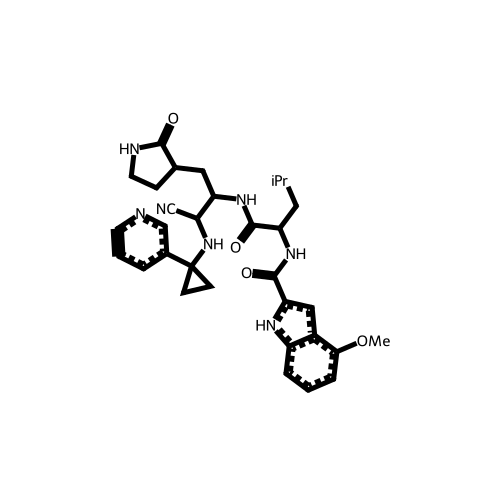 COc1cccc2[nH]c(C(=O)NC(CC(C)C)C(=O)NC(CC3CCNC3=O)C(C#N)NC3(c4cc#cnc4)CC3)cc12